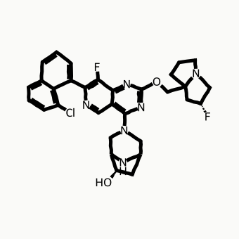 O[C@@H]1CC2CN(c3nc(OCC45CCCN4C[C@H](F)C5)nc4c(F)c(-c5cccc6cccc(Cl)c56)ncc34)CC1N2